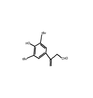 C=C(CC=O)c1cc(C(C)(C)C)c(O)c(C(C)(C)C)c1